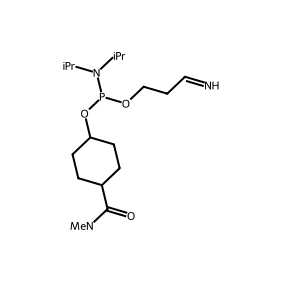 CNC(=O)C1CCC(OP(OCCC=N)N(C(C)C)C(C)C)CC1